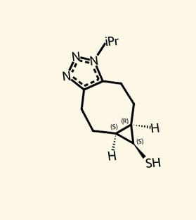 CC(C)n1nnc2c1CC[C@H]1[C@@H](S)[C@H]1CC2